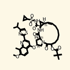 COc1ccc2c(O[C@@H]3C[C@H]4C(=O)N[C@]5(C(=O)NS(=O)(=O)C6CC6)C[C@H]5C=CCCCCCC(OC(=O)C(C)(C)C)C(=O)N4C3)cc(-c3nc(C(C)C)cs3)nc2c1C